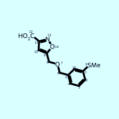 CSc1cccc(COCc2cc(C(=O)O)no2)c1